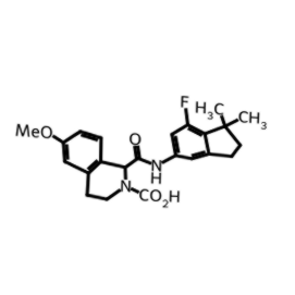 COc1ccc2c(c1)CCN(C(=O)O)C2C(=O)Nc1cc(F)c2c(c1)CCC2(C)C